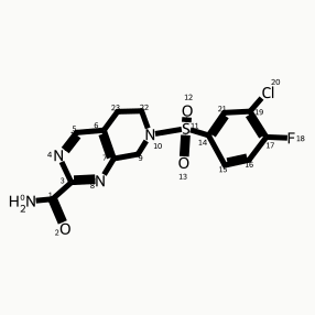 NC(=O)c1n[c]c2c(n1)CN(S(=O)(=O)c1ccc(F)c(Cl)c1)CC2